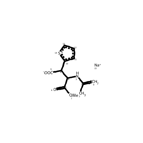 C=C(C)NC(C(=O)OC)C(C(=O)[O-])c1cccs1.[Na+]